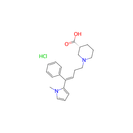 Cl.Cn1cccc1/C(=C/CCN1CCC[C@@H](C(=O)O)C1)c1ccccc1